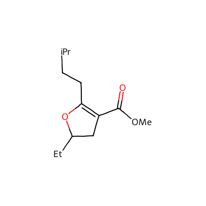 CCC1CC(C(=O)OC)=C(CCC(C)C)O1